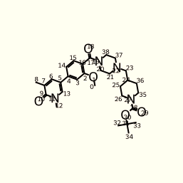 COc1cc(-c2cc(C)c(=O)n(C)c2)ccc1C(=O)N1CCN(CC2CCN(C(=O)OC(C)(C)C)CC2)CC1